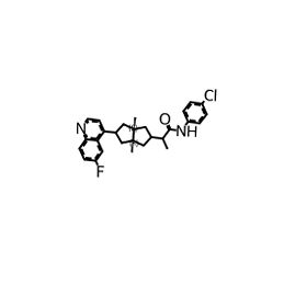 CC(C(=O)Nc1ccc(Cl)cc1)C1C[C@]2(C)CC(c3ccnc4ccc(F)cc34)C[C@]2(C)C1